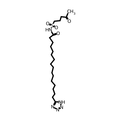 CC(=O)CCCS(=O)(=O)NC(=O)CCCCCCCCCCCCCCCc1nnn[nH]1